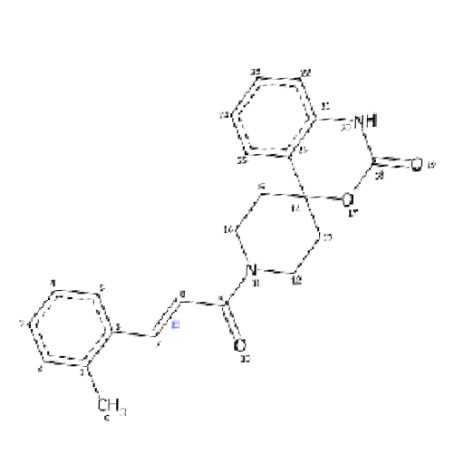 Cc1ccccc1/C=C/C(=O)N1CCC2(CC1)OC(=O)Nc1ccccc12